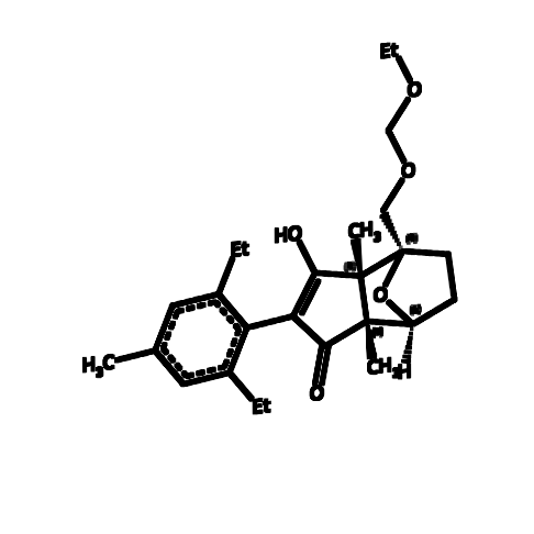 CCOCOC[C@]12CC[C@H](O1)[C@]1(C)C(=O)C(c3c(CC)cc(C)cc3CC)=C(O)[C@]21C